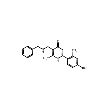 Cc1cc(C(C)(C)C)ccc1-c1cc(=O)c(CNCc2ccccc2)c(C)[nH]1